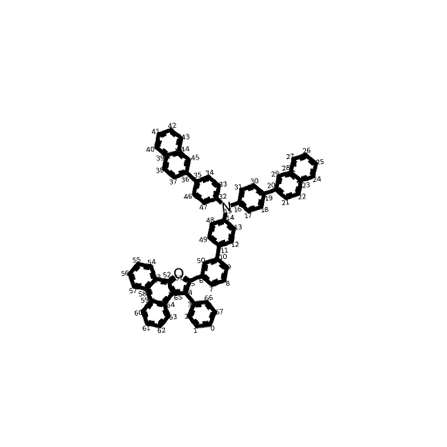 c1ccc(-c2c(-c3cccc(-c4ccc(N(c5ccc(-c6ccc7ccccc7c6)cc5)c5ccc(-c6ccc7ccccc7c6)cc5)cc4)c3)oc3c4ccccc4c4ccccc4c23)cc1